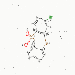 O=S1(=O)c2ccccc2Sc2cc(Br)ccc21